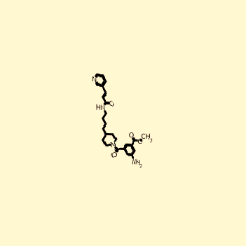 COC(=O)c1cc(N)cc(C(=O)N2CCC(CCCCNC(=O)C=Cc3cccnc3)CC2)c1